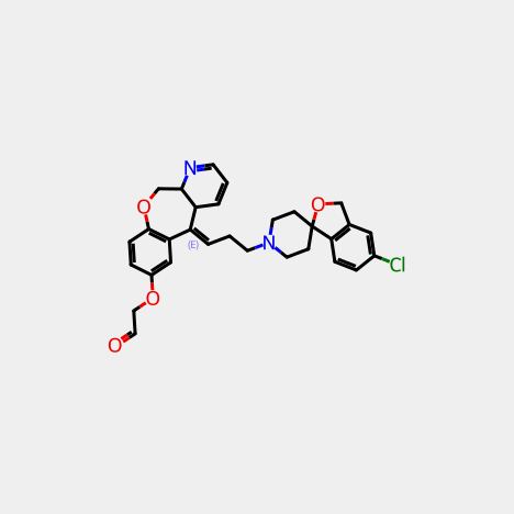 O=CCOc1ccc2c(c1)/C(=C/CCN1CCC3(CC1)OCc1cc(Cl)ccc13)C1C=CC=NC1CO2